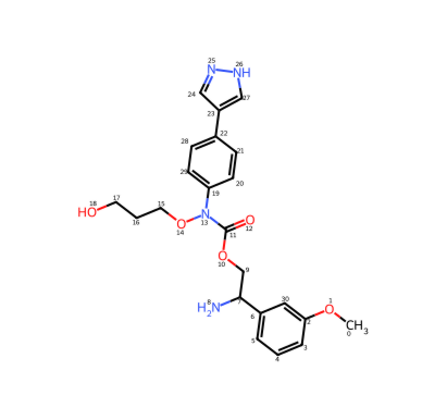 COc1cccc(C(N)COC(=O)N(OCCCO)c2ccc(-c3cn[nH]c3)cc2)c1